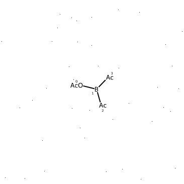 CC(=O)OB(C(C)=O)C(C)=O